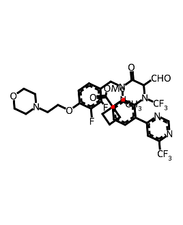 COC(=O)C1(N(C)N(Cc2ccc(OCCN3CCOCC3)c(F)c2F)C(=O)C(C=O)N(c2ccccc2-c2cc(C(F)(F)F)ncn2)C(F)(F)F)CCC1